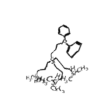 C[SiH](C)CCC[Si](CCC[SiH](C)C)(CCC[SiH](C)C)CCCP(c1ccccc1)c1ccccc1